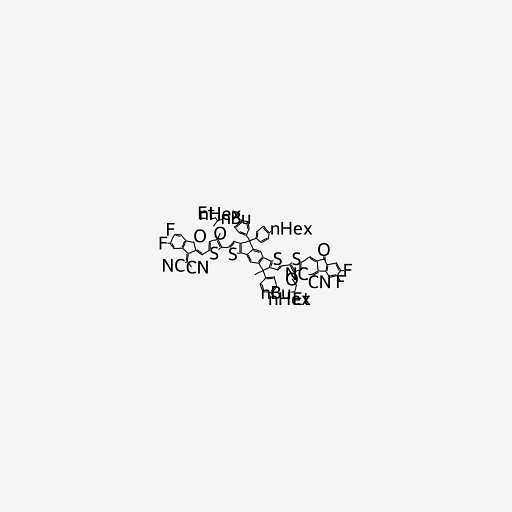 CCCCCCc1ccc(C2(C)c3cc4c(cc3-c3sc(-c5sc(/C=C6/C(=O)c7cc(F)c(F)cc7C6=C(C#N)C#N)cc5OCC(CC)CCCC)cc32)C(c2ccc(CCCCCC)cc2)(c2ccc(CCCCCC)cc2)c2cc(-c3sc(/C=C5\C(=O)c6cc(F)c(F)cc6C5=C(C#N)C#N)cc3OCC(CC)CCCC)sc2-4)cc1